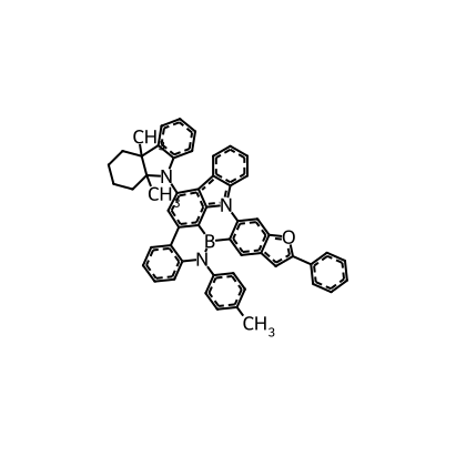 Cc1ccc(N2B3c4cc5cc(-c6ccccc6)oc5cc4-n4c5ccccc5c5c(N6c7ccccc7C7(C)CCCCC67C)cc(c3c54)-c3ccccc32)cc1